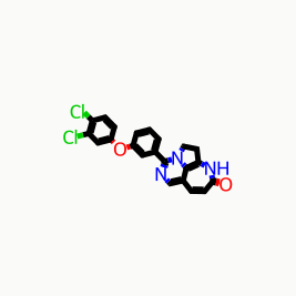 O=C1C=CC2=CN=C(c3cccc(Oc4ccc(Cl)c(Cl)c4)c3)N3CCC(=C23)N1